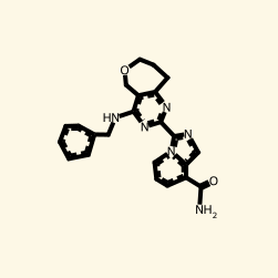 NC(=O)c1cccn2c(-c3nc4c(c(NCc5ccccc5)n3)COCCC4)ncc12